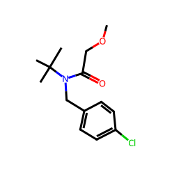 COCC(=O)N(Cc1ccc(Cl)cc1)C(C)(C)C